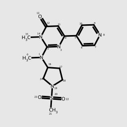 CN(c1nc(-c2ccncc2)cc(=O)n1C)C1CCN(S(C)(=O)=O)C1